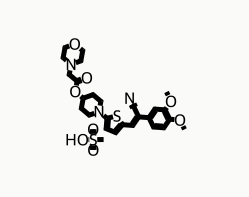 COc1ccc(/C(C#N)=C/c2ccc(N3CCC(OC(=O)CN4CCOCC4)CC3)s2)cc1OC.CS(=O)(=O)O